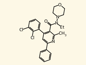 CCN(C(=O)c1c(-c2cccc(Cl)c2Cl)cc(-c2ccccc2)nc1C)N1CCOCC1